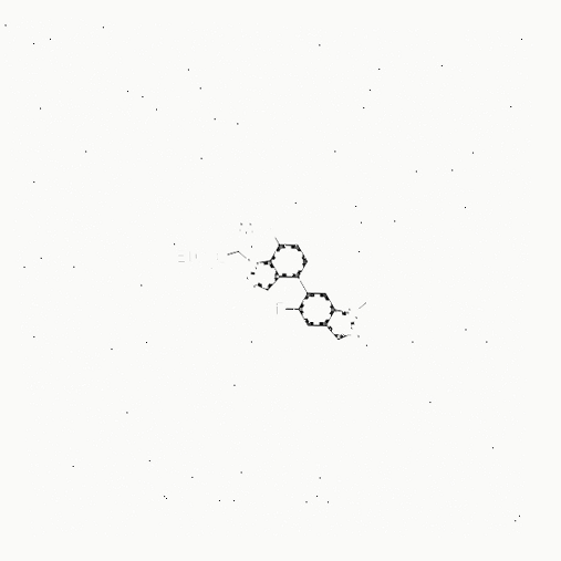 CCOC(=O)Cn1ncc2c(-c3cc4c(cnn4C)cc3F)ccc(SC)c21